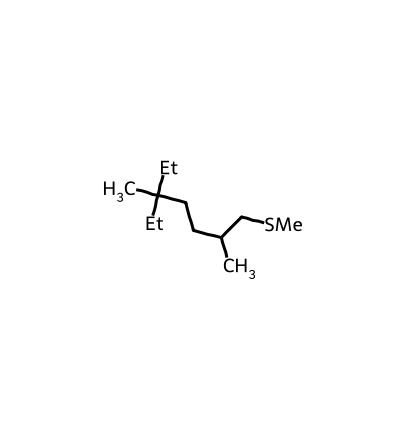 CCC(C)(CC)CCC(C)CSC